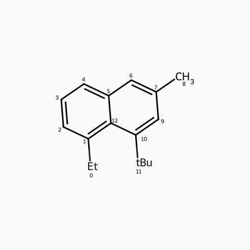 CCc1cccc2cc(C)cc(C(C)(C)C)c12